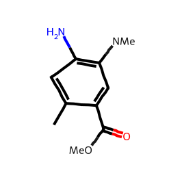 CNc1cc(C(=O)OC)c(C)cc1N